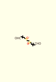 CC(C)(CC=O)CC[S+]([O-])CC[S+]([O-])CCC(C)(C)CC=O